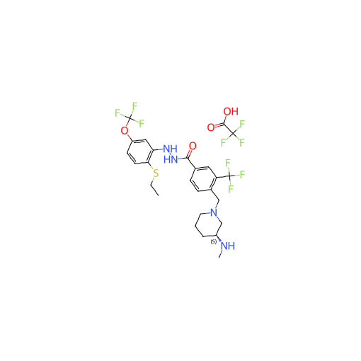 CCSc1ccc(OC(F)(F)F)cc1NNC(=O)c1ccc(CN2CCC[C@H](NC)C2)c(C(F)(F)F)c1.O=C(O)C(F)(F)F